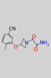 Cc1ccc(C#N)cc1OC1CN(C(=O)C(N)=O)C1